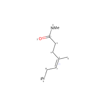 CNC(=O)CC/C(C)=C\CC(C)C